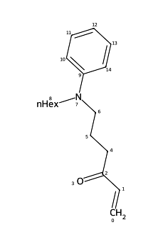 C=CC(=O)CCCN(CCCCCC)c1ccccc1